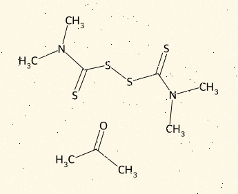 CC(C)=O.CN(C)C(=S)SSC(=S)N(C)C